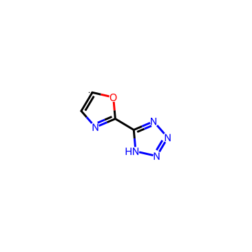 [c]1cnc(-c2nnn[nH]2)o1